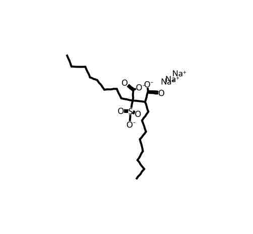 CCCCCCCCC(C(=O)[O-])C(CCCCCCCC)(C(=O)[O-])S(=O)(=O)[O-].[Na+].[Na+].[Na+]